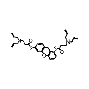 C=CCN(CC=C)CCC(=O)Sc1ccc2c(c1)Oc1cccc(SC(=O)CCN(CC=C)CC=C)c1C2